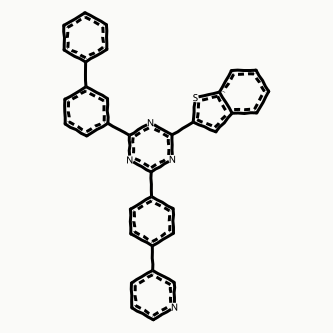 c1ccc(-c2cccc(-c3nc(-c4ccc(-c5cccnc5)cc4)nc(-c4cc5ccccc5s4)n3)c2)cc1